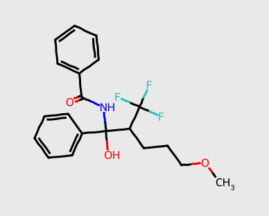 COCCCC(C(F)(F)F)C(O)(NC(=O)c1ccccc1)c1ccccc1